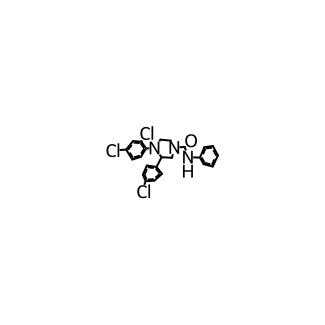 O=C(Nc1ccccc1)N1CCN(c2ccc(Cl)cc2Cl)C(c2ccc(Cl)cc2)C1